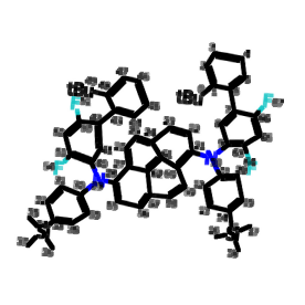 CC(C)(C)c1ccccc1-c1cc(N(c2ccc([Si](C)(C)C)cc2)c2ccc3ccc4c(N(c5ccc([Si](C)(C)C)cc5)c5cc(-c6ccccc6C(C)(C)C)c(F)cc5F)ccc5ccc2c3c54)c(F)cc1F